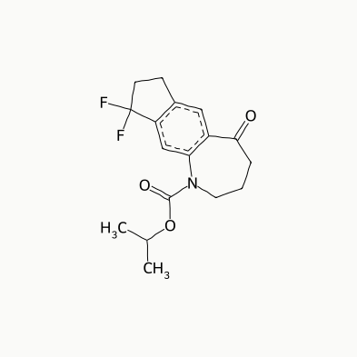 CC(C)OC(=O)N1CCCC(=O)c2cc3c(cc21)C(F)(F)CC3